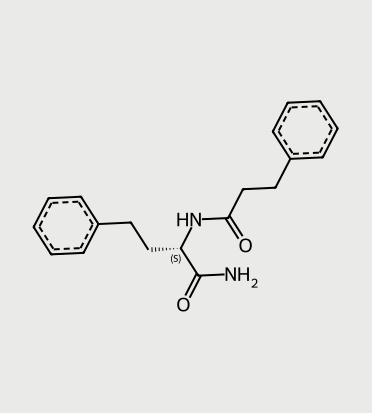 NC(=O)[C@H](CCc1ccccc1)NC(=O)CCc1ccccc1